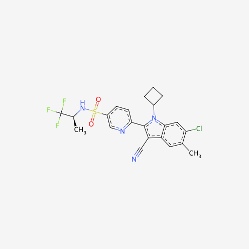 Cc1cc2c(C#N)c(-c3ccc(S(=O)(=O)N[C@@H](C)C(F)(F)F)cn3)n(C3CCC3)c2cc1Cl